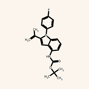 C=C(C)c1cc2c(NC(=O)OC(C)(C)C)cccc2n1-c1ccc(F)cc1